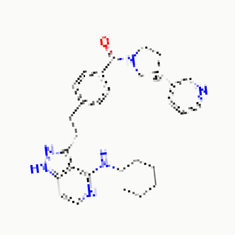 O=C(c1ccc(CCc2n[nH]c3ccnc(NC4CCCCC4)c23)cc1)N1CC[C@H](c2cccnc2)C1